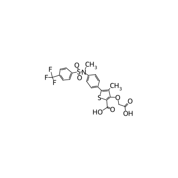 Cc1c(-c2ccc(N(C)S(=O)(=O)c3ccc(C(F)(F)F)cc3)cc2)sc(C(=O)O)c1OCC(=O)O